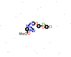 CCn1cncc1Cn1c(CN2CCC(Oc3cccc(COc4ccc(Cl)cc4Cl)c3)CC2)nc2ccc(C(=O)OC)cc21